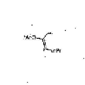 [CH2]C(=CCCC)OC